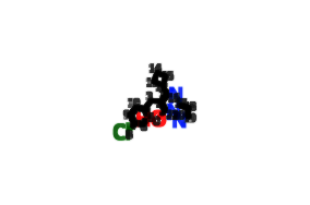 Oc1c(Cc2ccc(Cl)cc2)c(C2CCC2)nc2ccnn12